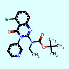 CCN(C(=O)OC(C)(C)C)c1nc2cccc(Br)c2c(=O)n1-c1cccnc1